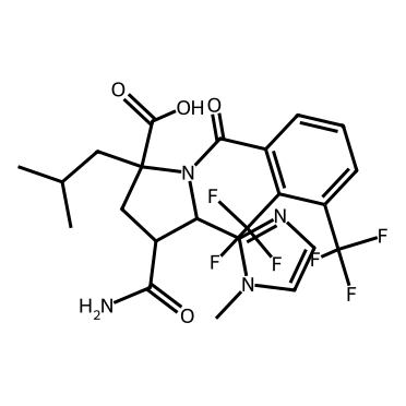 CC(C)CC1(C(=O)O)CC(C(N)=O)C(c2nccn2C)N1C(=O)c1cccc(C(F)(F)F)c1C(F)(F)F